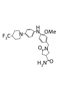 COc1cc(CN2CC(C(N)=O)CC2=O)ccc1Nc1ccc(N2CCC(C(F)(F)F)CC2)cc1